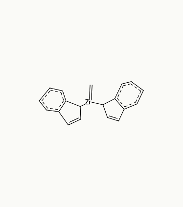 [CH2]=[Zr]([CH]1C=Cc2ccccc21)[CH]1C=Cc2ccccc21